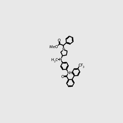 COC(=O)C(c1ccccc1)N1CCC(N(C)c2ccc(NC(=O)c3ccccc3-c3ccc(C(F)(F)F)cc3)cc2)C1